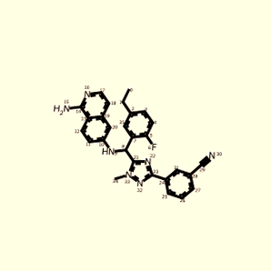 CCc1ccc(F)c(C(Nc2ccc3c(N)nccc3c2)c2nc(-c3cccc(C#N)c3)nn2C)c1